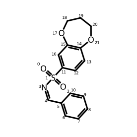 O=S(=O)(/N=C\c1ccccc1)c1ccc2c(c1)OCCCO2